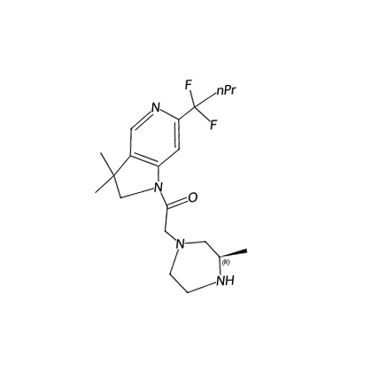 CCCC(F)(F)c1cc2c(cn1)C(C)(C)CN2C(=O)CN1CCN[C@H](C)C1